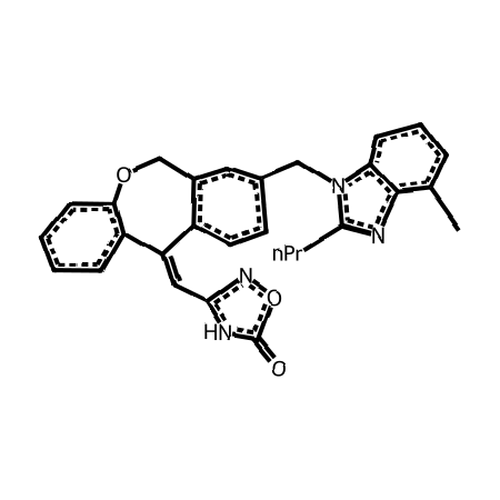 CCCc1nc2c(C)cccc2n1Cc1ccc2c(c1)COc1ccccc1/C2=C/c1noc(=O)[nH]1